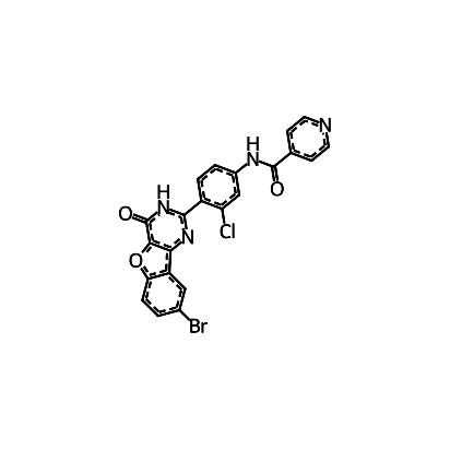 O=C(Nc1ccc(-c2nc3c(oc4ccc(Br)cc43)c(=O)[nH]2)c(Cl)c1)c1ccncc1